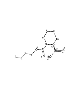 CCCCOC(=O)C1CCCC[C@H]1C(=O)O